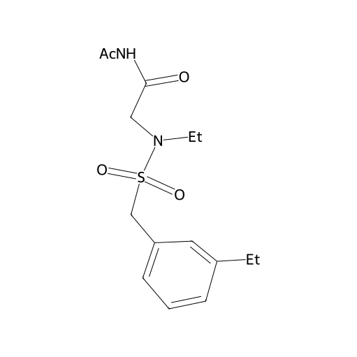 CCc1cccc(CS(=O)(=O)N(CC)CC(=O)NC(C)=O)c1